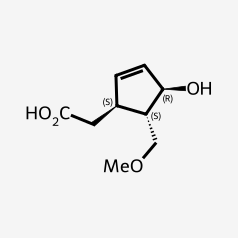 COC[C@H]1[C@H](O)C=C[C@@H]1CC(=O)O